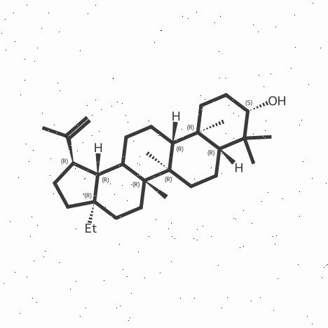 C=C(C)[C@@H]1CC[C@]2(CC)CC[C@]3(C)C(CC[C@@H]4[C@@]5(C)CC[C@H](O)C(C)(C)[C@@H]5CC[C@]43C)[C@@H]12